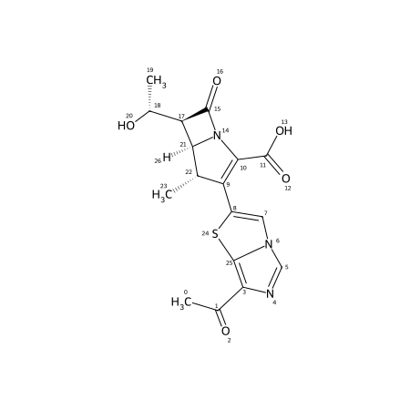 CC(=O)c1ncn2cc(C3=C(C(=O)O)N4C(=O)[C@H]([C@@H](C)O)[C@@H]4[C@H]3C)sc12